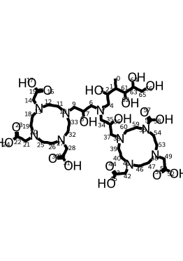 CC(C(O)CN(CC(O)CN1CCN(CC(=O)O)CCN(CC(=O)O)CCN(CC(=O)O)CC1)CC(O)CN1CCN(CC(=O)O)CCN(CC(=O)O)CCN(C(=O)O)CC1)C(O)C(O)CO